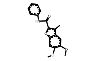 COc1cc2oc(C(=O)Nc3ccccc3)c(C)c2cc1OC